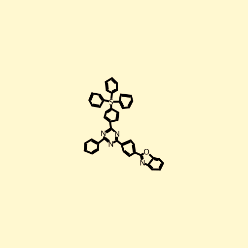 c1ccc(-c2nc(-c3ccc(-c4nc5ccccc5o4)cc3)nc(-c3ccc(S(c4ccccc4)(c4ccccc4)c4ccccc4)cc3)n2)cc1